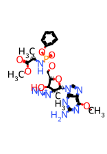 COC(=O)[C@H](C)NP(=O)(OC[C@H]1O[C@@H](n2cnc3c(OC)nc(N)nc32)[C@](C)(N=[N+]=[N-])C1O)Oc1ccccc1